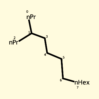 [CH2]CCC(CCC)CCCCCCCCCC